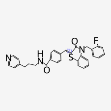 O=C(NCCCc1ccncc1)c1ccc(/C=C2\Sc3ccccc3N(Cc3ccccc3F)C2=O)cc1